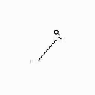 CCCCCCCCCCCCCCCCN[C@@H](Cc1ccccc1)C(=O)O